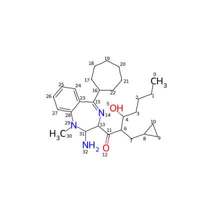 CCCCC(O)C(CC1CC1)C(=O)C1N=C(C2CCCCCC2)c2ccccc2N(C)C1N